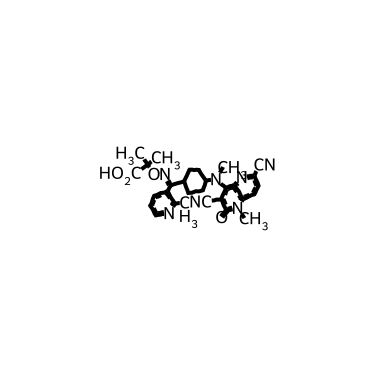 Cc1ncccc1/C(=N\OC(C)(C)C(=O)O)C1CCC(N(C)c2c(C#N)c(=O)n(C)c3ccc(C#N)nc23)CC1